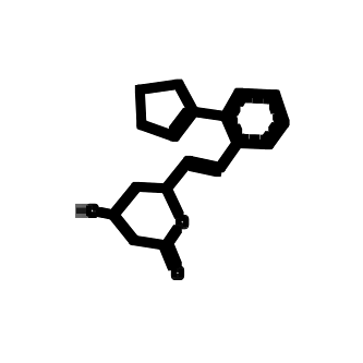 O=C1CC(O)CC(C=Cc2ccccc2C2=CCCC2)O1